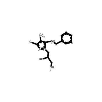 O=[N+]([O-])c1c(Br)nn(CC(O)CO)c1NCc1ccccc1